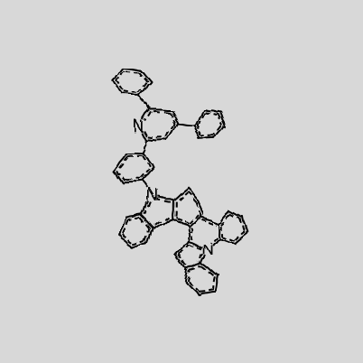 c1ccc(-c2cc(-c3ccccc3)nc(-c3cccc(-n4c5ccccc5c5c6c(ccc54)c4ccccc4n4c5ccccc5cc64)c3)c2)cc1